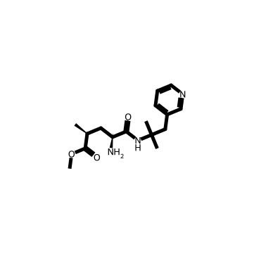 COC(=O)[C@@H](C)C[C@H](N)C(=O)NC(C)(C)Cc1cccnc1